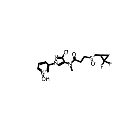 CN(C(=O)CC[S+]([O-])CC1CC1(F)F)c1cn(-c2ccc[n+](O)c2)nc1Cl